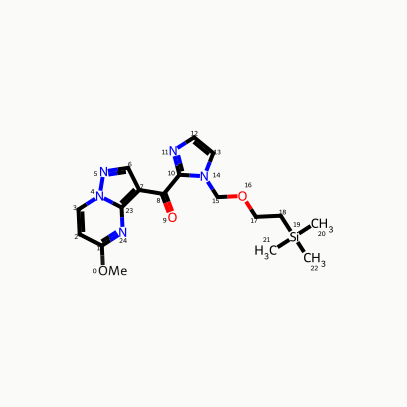 COc1ccn2ncc(C(=O)c3nccn3COCC[Si](C)(C)C)c2n1